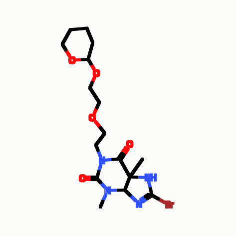 CN1C(=O)N(CCOCCOC2CCCCO2)C(=O)C2(C)NC(Br)=NC12